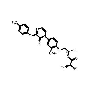 COc1cc(-n2ccnc(Sc3ccc(C(F)(F)F)cc3)c2=O)ccc1OC[C@H](OC(=O)C(N)C(C)C)C(F)(F)F